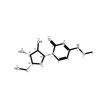 CONc1ccn([C@@H]2O[C@H](CO)[C@H](O)C2O)c(=O)n1